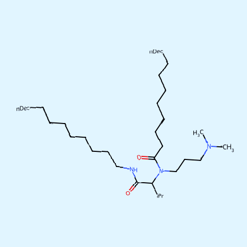 CCCCCCCCCCCCCCCCCCNC(=O)C(C(C)C)N(CCCN(C)C)C(=O)CCCCCCCCCCCCCCCCC